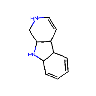 C1=CC2NC3CNC=CC3C2C=C1